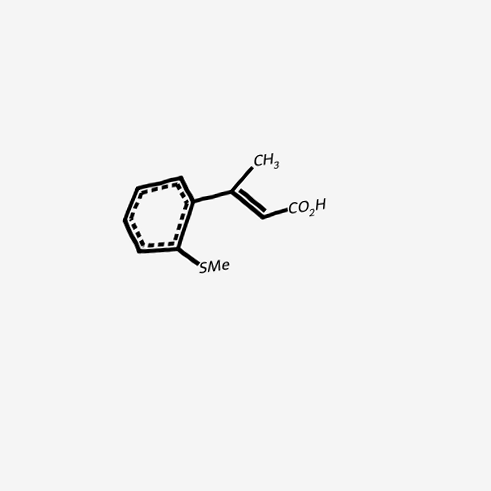 CSc1ccccc1C(C)=CC(=O)O